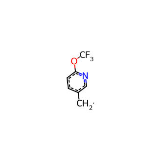 [CH2]c1ccc(OC(F)(F)F)nc1